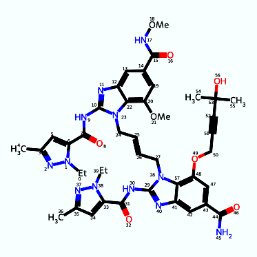 CCn1nc(C)cc1C(=O)Nc1nc2cc(C(=O)NOC)cc(OC)c2n1C/C=C/Cn1c(NC(=O)c2cc(C)nn2CC)nc2cc(C(N)=O)cc(OCC#CC(C)(C)O)c21